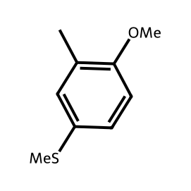 COc1ccc(SC)cc1C